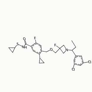 CCC(c1cc(Cl)cc(Cl)c1)N1CC(F)(COCc2cc(F)c(C(=O)NSC3CC3)cc2C2CC2)C1